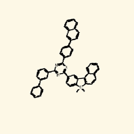 C[Si]1(C)c2ccc(-c3nc(-c4ccc(-c5ccc6ccccc6c5)cc4)nc(-c4cccc(-c5ccccc5)c4)n3)cc2-c2c1ccc1ccccc21